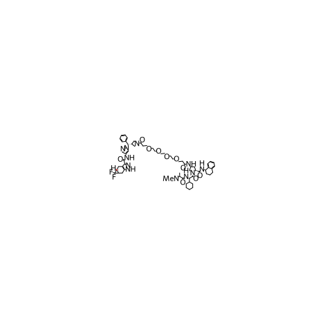 CN[C@@H](C)C(=O)N[C@H](C(=O)N1C[C@@H](NC(=O)CCOCCOCCOCCOCCC(=O)N2CC([C@@H](c3ccccc3)n3cc(NC(=O)c4n[nH]c5c4C[C@@H]4C(F)(F)[C@]4(C)C5)cn3)C2)C[C@H]1C(=O)N[C@@H]1CCCc2ccccc21)C1CCCCC1